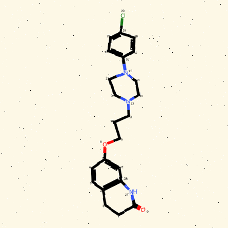 O=C1CCc2ccc(OCCCN3CCN(c4ccc(Cl)cc4)CC3)cc2N1